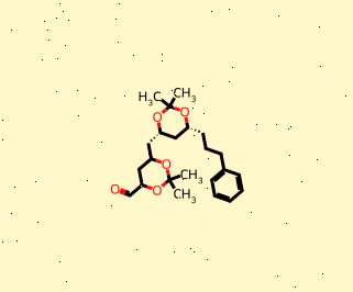 CC1(C)OC(C=O)CC(C[C@H]2C[C@@H](CCCc3ccccc3)OC(C)(C)O2)O1